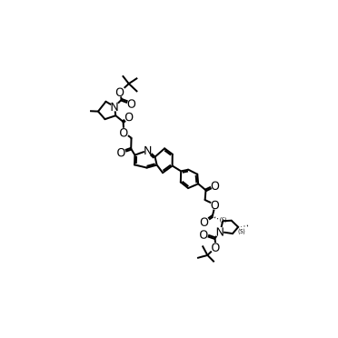 CC1CC(C(=O)OCC(=O)c2ccc3cc(-c4ccc(C(=O)COC(=O)[C@@H]5C[C@H](C)CN5C(=O)OC(C)(C)C)cc4)ccc3n2)N(C(=O)OC(C)(C)C)C1